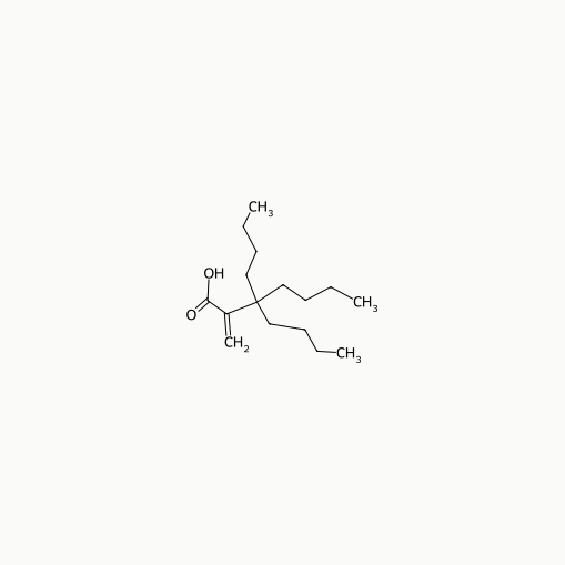 C=C(C(=O)O)C(CCCC)(CCCC)CCCC